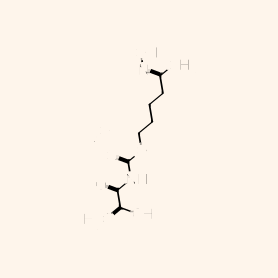 C=C(C)C(=O)NC(=O)OCCCCC(C)=NO.O